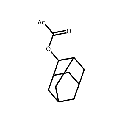 CC(=O)C(=O)OC1C2CC3CC(C2)CC1C3